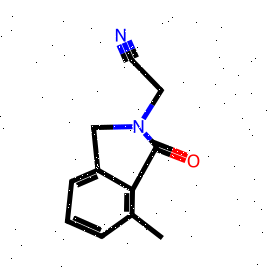 Cc1cccc2c1C(=O)N(CC#N)C2